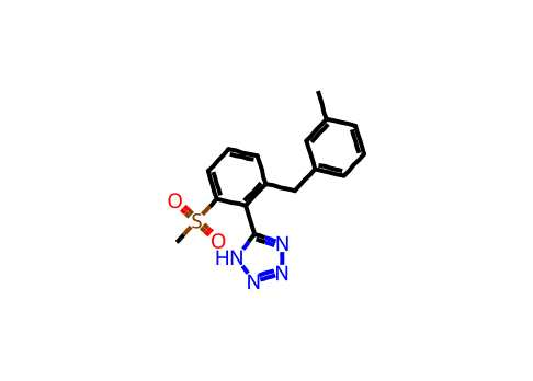 Cc1cccc(Cc2cccc(S(C)(=O)=O)c2-c2nnn[nH]2)c1